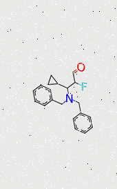 O=CC(F)C(C1CC1)N(Cc1ccccc1)Cc1ccccc1